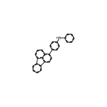 c1ccc(Nc2ccc(-c3ccc4c5c(cccc35)-c3ccccc3-4)cc2)cc1